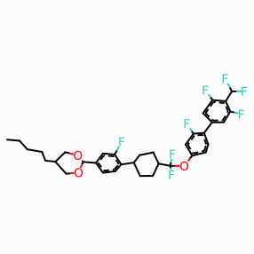 CCCCCC1COC(c2ccc(C3CCC(C(F)(F)Oc4ccc(-c5cc(F)c(C(F)F)c(F)c5)c(F)c4)CC3)c(F)c2)OC1